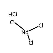 Cl.[Cl][Nd]([Cl])[Cl]